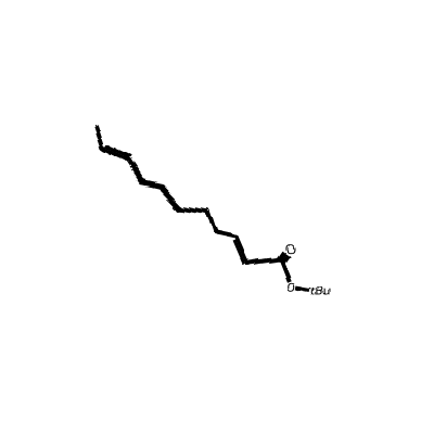 CC=CCCCCCC=CC(=O)OC(C)(C)C